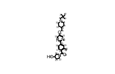 CC(C)(F)CN1CCC(COc2cnc(-c3ccc(C(=O)N4CC[C@@H](O)C4)c(F)c3)nc2)CC1